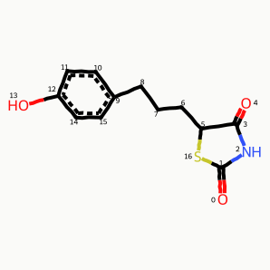 O=C1NC(=O)C(CCCc2ccc(O)cc2)S1